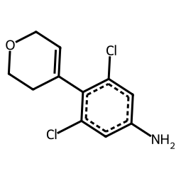 Nc1cc(Cl)c(C2=CCOCC2)c(Cl)c1